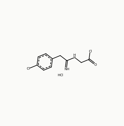 Cl.N=C(Cc1ccc(Cl)cc1)NCC(=O)Cl